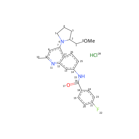 COCC1CCCN1c1cc(C)nc2cc(NC(=O)c3ccc(F)cc3)ccc12.Cl